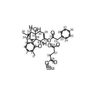 Cc1ccc2c3c1O[C@H]1C(OC(=O)[C@@H](OC(=O)CCC(=O)OC(C)(C)C)c4ccccc4)=CC[C@@]4(O)[C@@H](C2)N(C)CC[C@]314